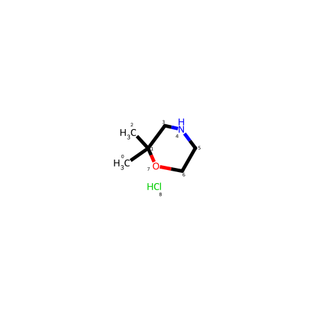 CC1(C)CNCCO1.Cl